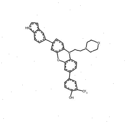 Oc1ccc(-c2ccc3c(c2)Oc2cc(-c4ccc5[nH]ccc5c4)ccc2N3CCN2CCOCC2)cc1C(F)(F)F